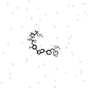 C[C@@H](Cc1cc(-c2ccn3c(-c4ccc(CC(=O)Nc5nnc(C6(C)CC6)s5)c(F)c4)cnc3c2)ccn1)N1CCOCC1